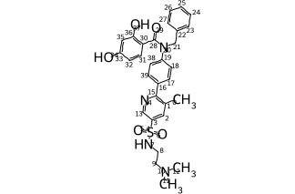 Cc1cc(S(=O)(=O)NCCN(C)C)cnc1-c1ccc(N(Cc2ccccc2)C(=O)c2ccc(O)cc2O)cc1